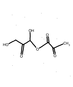 CC(=O)C(=O)OC(O)C(=O)CO